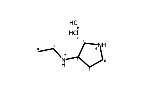 CCNC1CCNC1.Cl.Cl